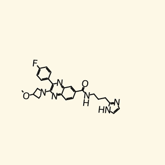 COC1CN(c2nc3ccc(C(=O)NCCCc4ncc[nH]4)cc3nc2-c2ccc(F)cc2)C1